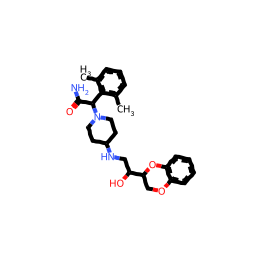 Cc1cccc(C)c1C(C(N)=O)N1CCC(NCC(O)C2COc3ccccc3O2)CC1